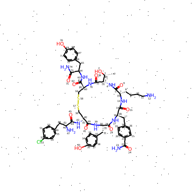 C[C@@H](O)[C@@H]1NC(=O)[C@H](CCCCN)NC(=O)[C@@H](Cc2ccc(C(N)=O)cc2)NC(=O)[C@H](Cc2ccc(O)cc2)NC(=O)[C@H](NC(=O)[C@@H](N)Cc2ccc(Cl)cc2)CSSC[C@@H](C(=O)NC(Cc2ccc(O)cc2)C(N)=O)NC1=O